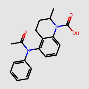 CC(=O)N(c1ccccc1)c1cccc2c1CCC(C)N2C(=O)O